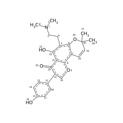 CN(C)CCc1c2c(c3occ(-c4ccc(O)cc4)c(=O)c3c1O)C=CC(C)(C)O2